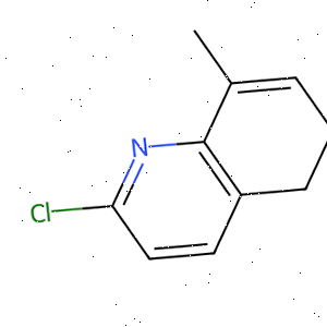 CC1=CCCc2ccc(Cl)nc21